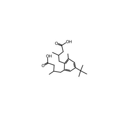 Cc1cc(C(C)(C)C)cc(CC(C)CC(=O)O)c1CC(C)CC(=O)O